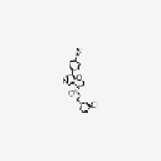 N#Cc1ccc(-c2cncc3c2OCCN3C(=O)CCc2cccc(Cl)c2)cc1